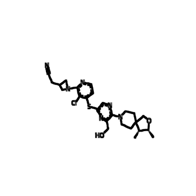 C[C@@H]1OCC2(CCN(c3ncc(Sc4ccnc(N5CC(CC#N)C5)c4Cl)nc3CO)CC2)[C@@H]1C